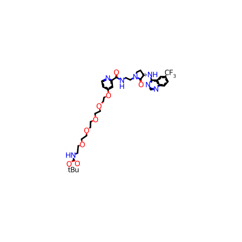 CC(C)(C)OC(=O)NCCOCCOCCOCCOCCOc1ccnc(C(=O)NCCN2CC[C@H](Nc3ncnc4ccc(C(F)(F)F)cc34)C2=O)c1